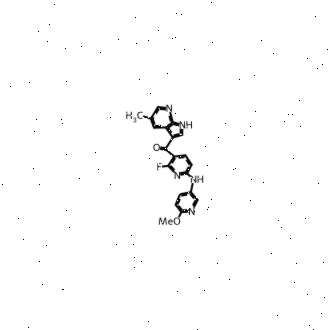 COc1ccc(Nc2ccc(C(=O)c3c[nH]c4ncc(C)cc34)c(F)n2)cn1